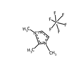 Cc1n(C)cc[n+]1C.F[P-](F)(F)(F)(F)F